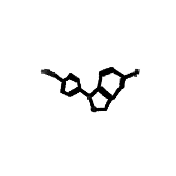 CCCCc1ccc(B2OCc3cc(F)ccc32)cc1